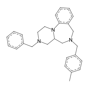 Cc1ccc(CN2Cc3ccccc3N3CCN(Cc4ccccc4)CC3C2)cc1